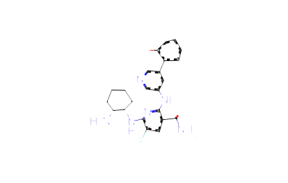 CCOc1ccccc1-c1cncc(Nc2nc(N[C@@H]3CCCC[C@@H]3N)c(F)cc2C(N)=O)c1